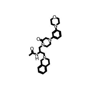 CC(=O)NC(CN1CCc2ccccc2C1)CN1CCN(c2cccc(N3CCOCC3)c2)CC1=O